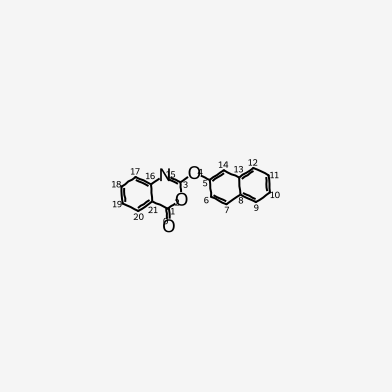 O=c1oc(Oc2ccc3ccccc3c2)nc2ccccc12